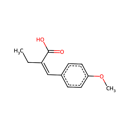 CCC(=Cc1ccc(OC)cc1)C(=O)O